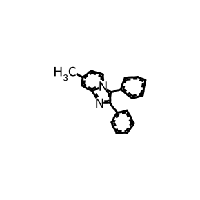 Cc1ccn2c(-c3ccccc3)c(-c3ccccc3)nc2c1